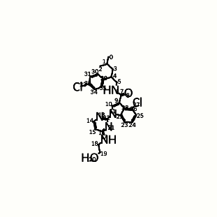 CC(C)CC(CNC(=O)c1cn(-c2nccc(NCCO)n2)c2cccc(Cl)c12)c1ccc(Cl)cc1